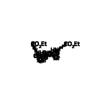 CCOC(=O)CCCCCNC(=O)/N=C(\c1ccccc1)N1CCN(C(=O)C(=O)c2cn(C(=O)NCCCCCC(=O)OCC)c3cccc(F)c23)CC1